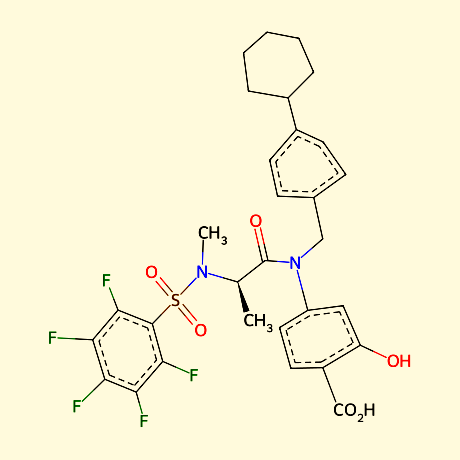 C[C@H](C(=O)N(Cc1ccc(C2CCCCC2)cc1)c1ccc(C(=O)O)c(O)c1)N(C)S(=O)(=O)c1c(F)c(F)c(F)c(F)c1F